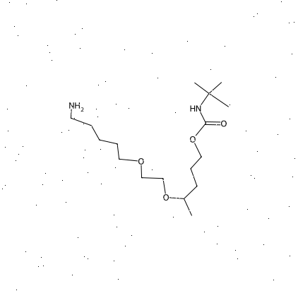 CC(CCCOC(=O)NC(C)(C)C)OCCOCCCCCN